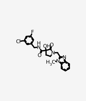 Cn1c(CN2CCC(O)(C(=O)NCc3cc(F)cc(Cl)c3)C2=O)nc2ccccc21